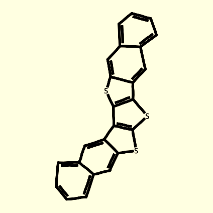 c1ccc2cc3c(cc2c1)sc1c3sc2sc3cc4ccccc4cc3c21